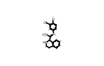 NC(=Nc1ccc(Cl)c(Cl)c1)C1NCCc2ccccc21